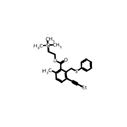 CCC#Cc1ccc(C)c(C(=O)OCC[Si](C)(C)C)c1CSc1ccccc1